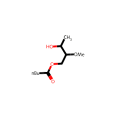 CCCCC(=O)OCC(OC)C(C)O